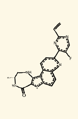 C=Cc1ncc(F)c(-c2ccc3c(ccc4sc5c(c43)NC[C@@H](C)NC5=O)n2)n1